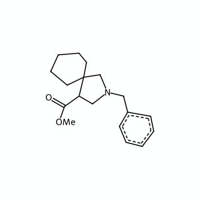 COC(=O)C1CN(Cc2ccccc2)CC12CCCCC2